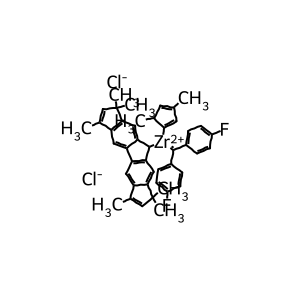 CC1=CC(C)[C]([Zr+2](=[C](c2ccc(F)cc2)c2ccc(F)cc2)[CH]2c3cc4c(cc3-c3cc5c(cc32)C(C)(C)C=C5C)C(C)=CC4(C)C)=C1.[Cl-].[Cl-]